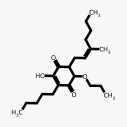 CCCCCC1=C(O)C(=O)C(C/C=C(/C)CCCC)C(OCCC)C1=O